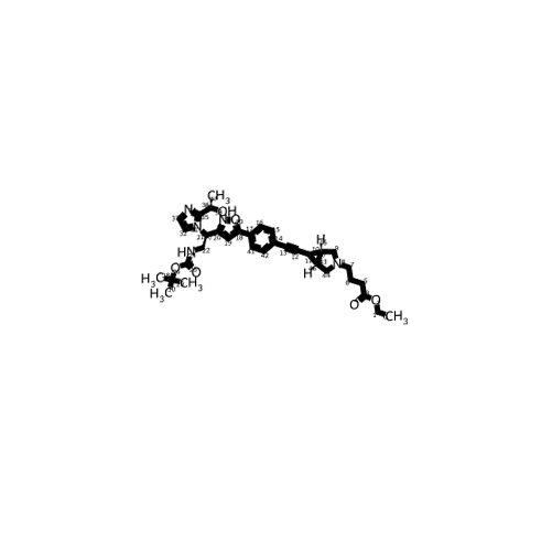 CCOC(=O)CCCN1C[C@@H]2C(C#Cc3ccc(-c4cc([C@@H](CNC(=O)OC(C)(C)C)n5ccnc5[C@H](C)O)no4)cc3)[C@@H]2C1